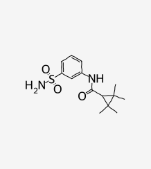 CC1(C)C(C(=O)Nc2cccc(S(N)(=O)=O)c2)C1(C)C